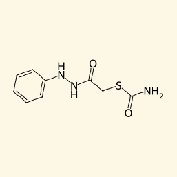 NC(=O)SCC(=O)NNc1ccccc1